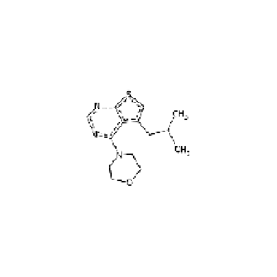 CC(C)Cc1csc2ncnc(N3CCOCC3)c12